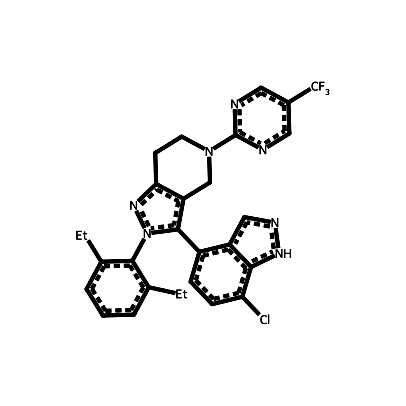 CCc1cccc(CC)c1-n1nc2c(c1-c1ccc(Cl)c3[nH]ncc13)CN(c1ncc(C(F)(F)F)cn1)CC2